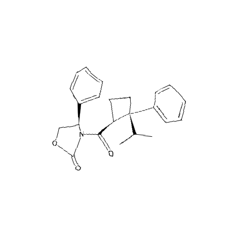 CC(C)[C@]1(c2ccccc2)CC[C@@H]1C(=O)N1C(=O)OC[C@H]1c1ccccc1